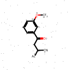 CC(=O)C(C#N)CC(=O)c1cccc(OC(F)(F)F)c1